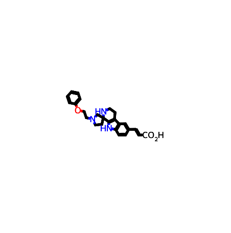 O=C(O)/C=C/c1ccc2[nH]c3c(c2c1)CCNC31CCN(CCOc2ccccc2)C1